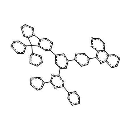 c1ccc(-c2nc(-c3ccccc3)nc(-c3cc(-c4ccc(-c5nc6ccccc6c6ccncc56)cc4)cc(-c4ccc5c(c4)C(c4ccccc4)(c4ccccc4)c4ccccc4-5)c3)n2)cc1